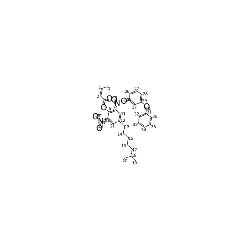 C/C=C\C(=O)Oc1c([N+](=O)[O-])cc(CCCCCC(C)C)cc1[N+](=O)[O-].c1ccc(Oc2ccccc2)cc1